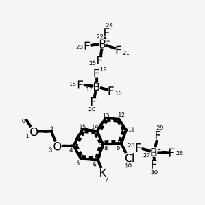 COCOc1c[c]([K])c2c(Cl)cccc2c1.F[B-](F)(F)F.F[B-](F)(F)F.F[B-](F)(F)F